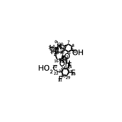 CN1CC[C@]23c4c5ccc(O)c4O[C@H]2[C@@H](O)C=C[C@H]3[C@H]1C5.O=C(O)Cc1cc(F)c(F)cc1F